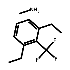 CCc1cccc(CC)c1C(F)(F)F.CN